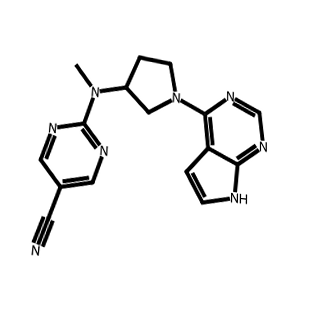 CN(c1ncc(C#N)cn1)C1CCN(c2ncnc3[nH]ccc23)C1